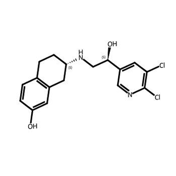 Oc1ccc2c(c1)C[C@@H](NC[C@@H](O)c1cnc(Cl)c(Cl)c1)CC2